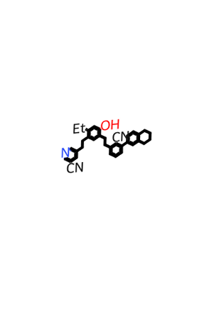 CCc1cc(O)c(CCc2cccc(-c3ccc4c(c3)CCCC4)c2C#N)cc1CCc1cncc(C#N)c1